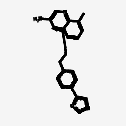 CC1=CC=CC23NC(CCc4ccc(-c5cnco5)cc4)=CC=C2C(N)=CN=C13